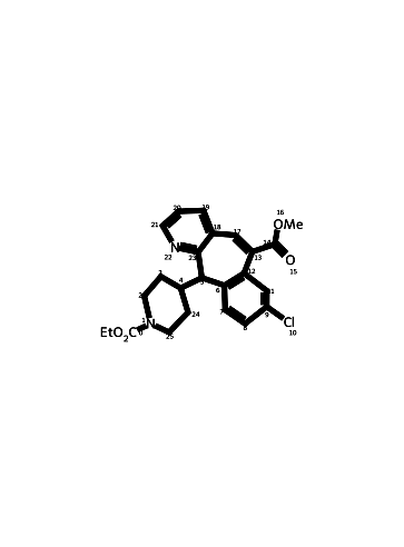 CCOC(=O)N1CCC(C2c3ccc(Cl)cc3C(C(=O)OC)=Cc3cccnc32)CC1